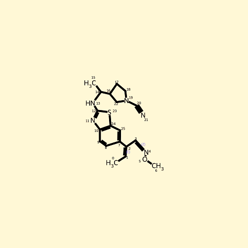 C/C=C(/C=N\OC)c1ccc2nc(NC(C)C3CCN(C#N)C3)sc2c1